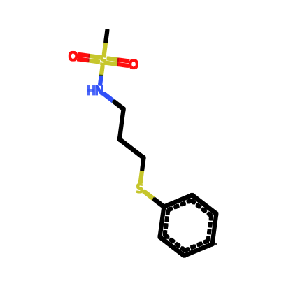 CS(=O)(=O)NCCCSc1cc[c]cc1